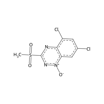 CS(=O)(=O)c1nc2c(Cl)cc(Cl)cc2[n+]([O-])n1